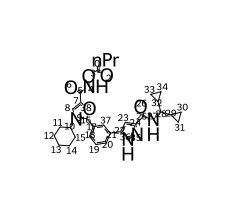 CCCC(=O)ONC(=O)C1=CN(C2CCCCC2)[C@H](c2cccc(-c3cc(C(=O)NC(C4CC4)C4CC4)n[nH]3)c2)O1